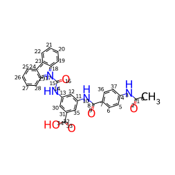 CC(=O)Nc1ccc(C(=O)Nc2cc(NC(=O)n3c4ccccc4c4ccccc43)cc(C(=O)O)c2)cc1